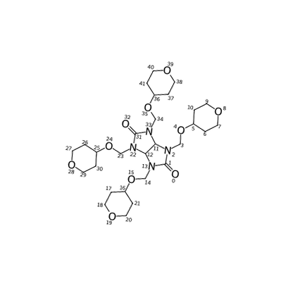 O=C1N(COC2CCOCC2)C2C(N1COC1CCOCC1)N(COC1CCOCC1)C(=O)N2COC1CCOCC1